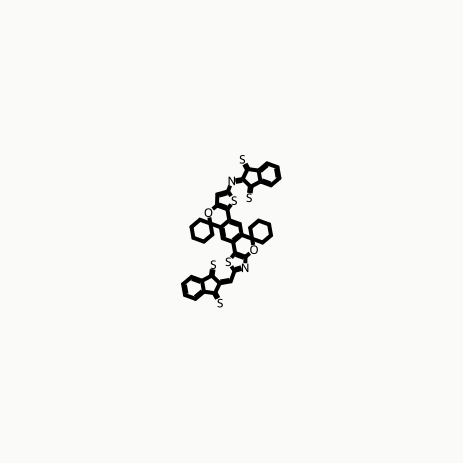 S=C1C(=Cc2nc3c(s2)-c2cc4c(cc2C2(CCCCC2)O3)-c2sc(N=c3c(=S)c5ccccc5c3=S)cc2OC42CCCCC2)C(=S)c2ccccc21